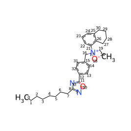 CCCCCCCCc1noc(-c2ccc(C[N+]([O-])(CC)c3cccc4c3CCCC4)cc2)n1